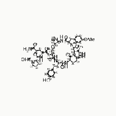 CCC(C)[C@@H]1NC(=O)[C@@H](Cc2ccc(OC)cc2)N(C)C(=O)C(C(C)O)N2C(=O)C(CC[C@@H]2O)NC(=O)[C@@H](CCc2ccc(O)cc2)NC(=O)[C@@H](NC(=O)[C@H](CCC(N)=O)NC(=O)[C@@H]2CCCN2C=O)[C@H](C)OC1=O